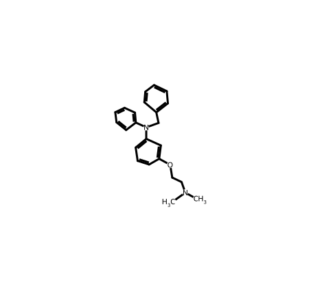 CN(C)CCOc1cccc(N(Cc2ccccc2)c2ccccc2)c1